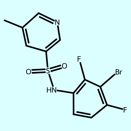 Cc1cncc(S(=O)(=O)Nc2ccc(F)c(Br)c2F)c1